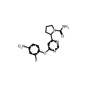 NC(=O)N1CCCC1c1cc(Oc2ccc([N+](=O)[O-])cc2F)ncn1